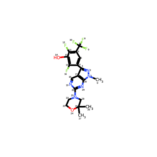 Cn1nc(-c2cc(C(F)(F)F)c(F)c(O)c2F)c2cnc(N3CCOC(C)(C)C3)nc21